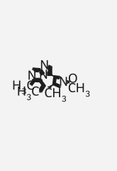 C/C=C\c1c(C)ncc2ncc([C@H]3CN(C(C)=O)C[C@H]3CC)n12